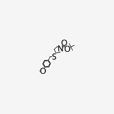 COc1ccc(CSC2CCN(C(=O)OC(C)(C)C)C2)cc1